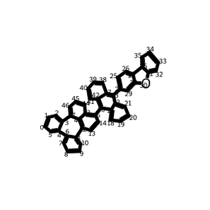 c1ccc2c(c1)-c1ccccc1-c1ccc(-c3c4ccccc4c(-c4ccc5c(c4)oc4ccccc45)c4ccccc34)c3cccc-2c13